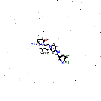 C=C/C(=C\c1c(N)ccc(=O)n1CCN1CCC(NCc2cnc(Cl)c(Cl)c2)CC1)OC